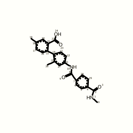 CNC(=O)c1ccc(C(=O)Nc2ccc(-c3ccc(C)cc3C(=O)O)c(C)c2)cc1